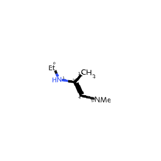 CCN/C(C)=C/NC